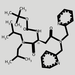 CC(C)CN(CC(C)C)C(=O)[C@H](CC(=O)N(Cc1ccccn1)Cc1ccccn1)NC(=O)OC(C)(C)C